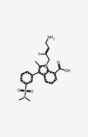 Cc1c(-c2cccc(S(=O)(=O)N(C)C)c2)c2cccc(C(=O)O)c2n1CC(F)=CCN